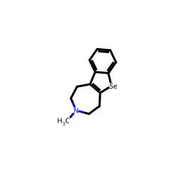 CN1CCc2[se]c3ccccc3c2CC1